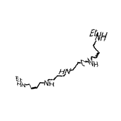 CCNC/C=C\CNCCCCNCCCCNC/C=C\CNCC